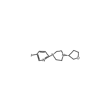 Ic1ccc(N2CCN([C@H]3CCOC3)CC2)nc1